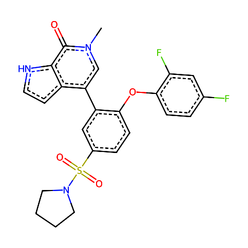 Cn1cc(-c2cc(S(=O)(=O)N3CCCC3)ccc2Oc2ccc(F)cc2F)c2cc[nH]c2c1=O